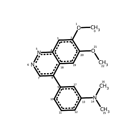 COc1cc2nncc(-c3cccc(N(C)C)c3)c2cc1OC